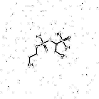 CCCOP(=O)(O)OC(CC)P(=O)(O)O